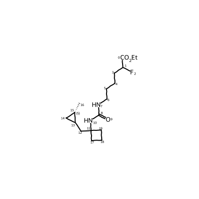 CCOC(=O)C(F)CCCCNC(=O)NC1(CC2C[C@@H]2C)CCC1